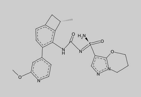 COc1cc(-c2ccc3c(c2NC(=O)N=[S@](N)(=O)c2cnn4c2OCCC4)[C@@H](C)C3)ccn1